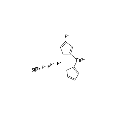 C1=CC[C]([Fe+3][C]2=CC=CC2)=C1.[F-].[F-].[F-].[F-].[F-].[F-].[Sb+3]